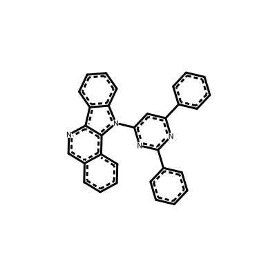 c1ccc(-c2cc(-n3c4ccccc4c4ncc5ccccc5c43)nc(-c3ccccc3)n2)cc1